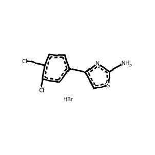 Br.Nc1nc(-c2ccc(Cl)c(Cl)c2)cs1